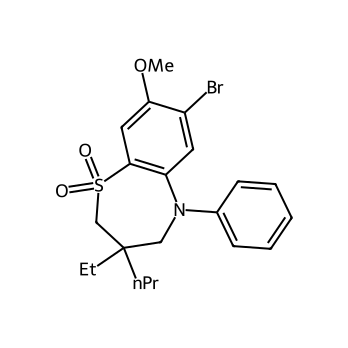 CCCC1(CC)CN(c2ccccc2)c2cc(Br)c(OC)cc2S(=O)(=O)C1